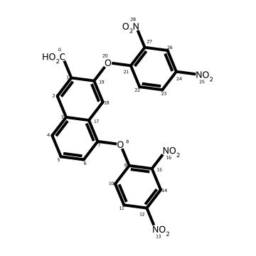 O=C(O)c1cc2cccc(Oc3ccc([N+](=O)[O-])cc3[N+](=O)[O-])c2cc1Oc1ccc([N+](=O)[O-])cc1[N+](=O)[O-]